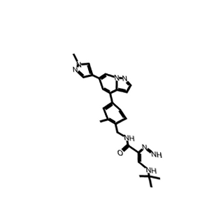 Cc1cc(-c2cc(-c3cnn(C)c3)cn3nccc23)ccc1CNC(=O)/C(=C/NC(C)(C)C)N=N